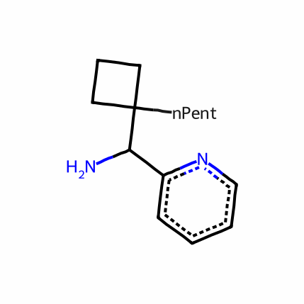 CCCCCC1(C(N)c2ccccn2)CCC1